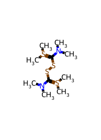 CN(C)C(SSC(N(C)C)=S(C)C)=S(C)C